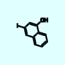 Oc1cc(I)cc2ccccc12